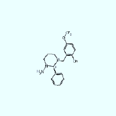 NN1CCC[C@@H](Cc2cc(OC(F)(F)F)ccc2O)[C@H]1c1ccccc1